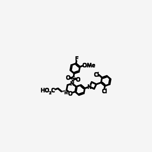 COc1cc(S(=O)(=O)N2C[C@@H](CCC(=O)O)Oc3ccc(N4CC(c5c(Cl)cccc5Cl)C4)cc32)ccc1F